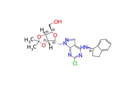 CC1(C)O[C@@H]2[C@H](O1)[C@@H](CO)O[C@@H]2Cn1ncc2c(N[C@@H]3CCc4ccccc43)nc(Cl)nc21